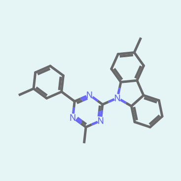 Cc1cccc(-c2nc(C)nc(-n3c4ccccc4c4cc(C)ccc43)n2)c1